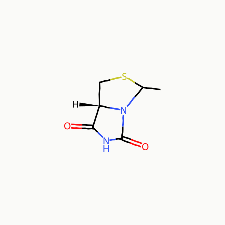 CC1SC[C@H]2C(=O)NC(=O)N12